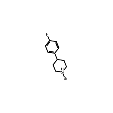 Fc1ccc(C2CC[SiH](Br)CC2)cc1